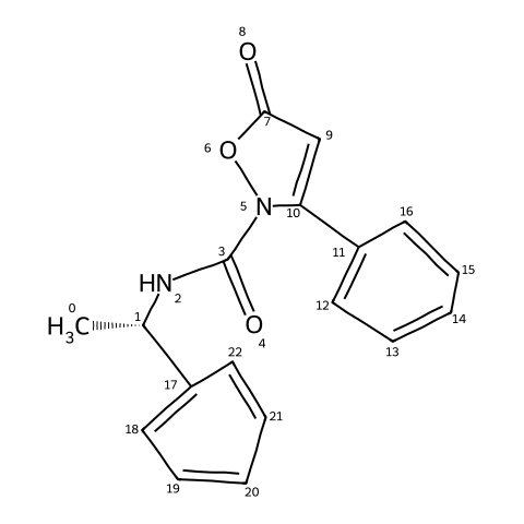 C[C@H](NC(=O)n1oc(=O)cc1-c1ccccc1)c1ccccc1